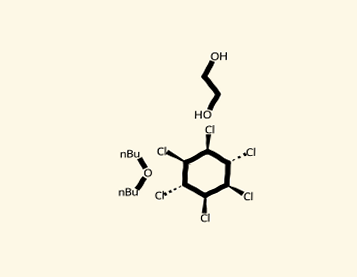 CCCCOCCCC.Cl[C@H]1[C@H](Cl)[C@@H](Cl)[C@@H](Cl)[C@H](Cl)[C@H]1Cl.OCCO